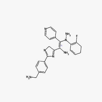 NCc1ccc(C2=NCC(/C(N)=C(\c3ccncc3)N(N)C3=C(F)CCC=C3)=N2)cc1